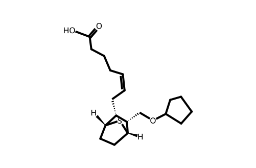 O=C(O)CCC/C=C\C[C@@H]1[C@H](COC2CCCC2)[C@@H]2CC[C@H]1S2